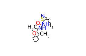 Cc1cnsc1NC(=O)NC(C)c1oc2ccccc2c1C